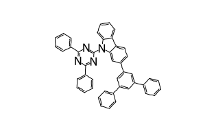 c1ccc(-c2cc(-c3ccccc3)cc(-c3ccc4c5ccccc5n(-c5nc(-c6ccccc6)nc(-c6ccccc6)n5)c4c3)c2)cc1